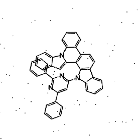 c1ccc(-c2cc(-n3c4ccccc4c4ccc5c6ccccc6n6c7ccccc7cc6c5c43)nc(-c3ccccc3)n2)cc1